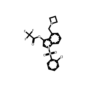 O=C(Oc1cn(S(=O)(=O)c2ccccc2Cl)c2cccc(CN3CCC3)c12)C(F)(F)F